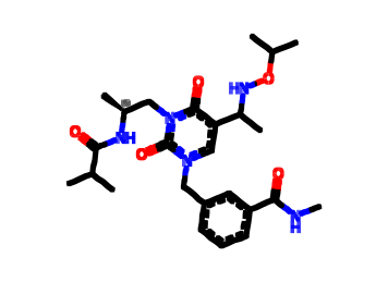 CNC(=O)c1cccc(Cn2cc(C(C)NOC(C)C)c(=O)n(C[C@H](C)NC(=O)C(C)C)c2=O)c1